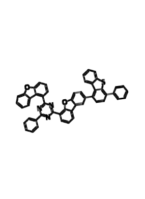 c1ccc(-c2nc(-c3cccc4c3oc3ccc(-c5ccc(-c6ccccc6)c6sc7ccccc7c56)cc34)nc(-c3cccc4oc5ccccc5c34)n2)cc1